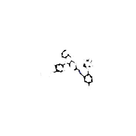 O=C(/C=C/c1cc(Cl)ccc1-n1cnnn1)N[C@@H](Cc1ccccc1)C(=O)Nc1ccc(C(=O)O)cn1